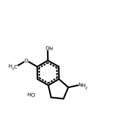 COc1cc2c(cc1O)C(N)CC2.Cl